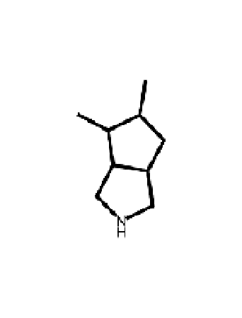 CC1CC2CNCC2C1C